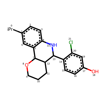 CC(C)c1ccc2c(c1)C1OCCCC1C(c1ccc(O)cc1Cl)N2